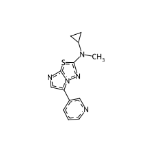 CN(c1nn2c(-c3cccnc3)cnc2s1)C1CC1